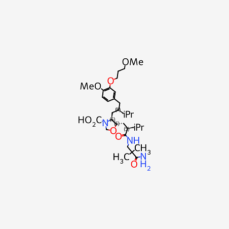 COCCCOc1cc(C[C@H](C[C@H]2[C@H](C[C@H](C(=O)NCC(C)(C)C(N)=O)C(C)C)OCN2C(=O)O)C(C)C)ccc1OC